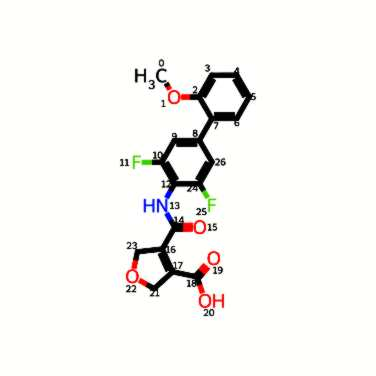 COc1ccccc1-c1cc(F)c(NC(=O)C2=C(C(=O)O)COC2)c(F)c1